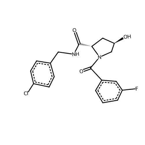 O=C(NCc1ccc(Cl)cc1)[C@@H]1C[C@@H](O)CN1C(=O)c1cccc(F)c1